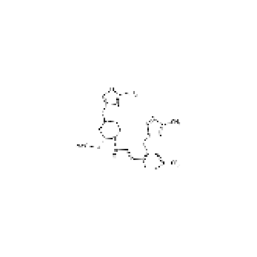 COC[C@@H]1CN(Cc2coc(C)n2)CCN1C(=O)/C=C/c1ccc(C(F)(F)F)cc1Cn1nnc(C)n1